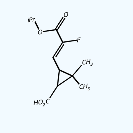 CC(C)OC(=O)C(F)=CC1C(C(=O)O)C1(C)C